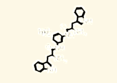 Cl.Cl.NC(Cc1c[nH]c2ccccc12)C(=O)Nc1cccc(NC(=O)C(N)Cc2c[nH]c3ccccc23)c1